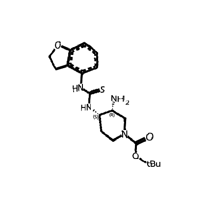 CC(C)(C)OC(=O)N1CC[C@H](NC(=S)Nc2cccc3c2CCO3)[C@H](N)C1